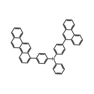 c1ccc(N(c2ccc(-c3cc4ccccc4c4ccccc34)cc2)c2ccc(-c3cccc4c3ccc3c5ccccc5ccc43)cc2)cc1